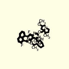 C#Cc1c(F)ccc2cccc(-c3nc4c5c(nc(OCC67CC(OC)CN6CCC7=C)nc5c3F)N3CC5CCC(C3C(C)O4)N5C(=O)O)c12